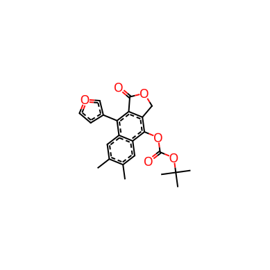 Cc1cc2c(OC(=O)OC(C)(C)C)c3c(c(-c4ccoc4)c2cc1C)C(=O)OC3